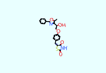 Cc1oc(-c2ccccc2)nc1C(O)COc1ccc(/C=C2/SC(=O)NC2=O)cc1